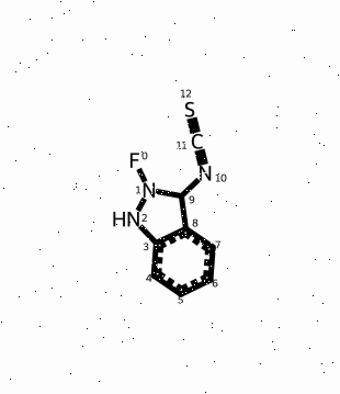 FN1Nc2ccccc2C1N=C=S